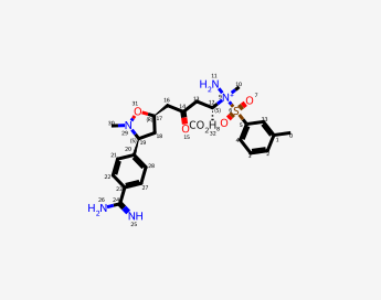 Cc1cccc(S(=O)(=O)[N+](C)(N)[C@@H](CC(=O)C[C@H]2C[C@@H](c3ccc(C(=N)N)cc3)N(C)O2)C(=O)O)c1